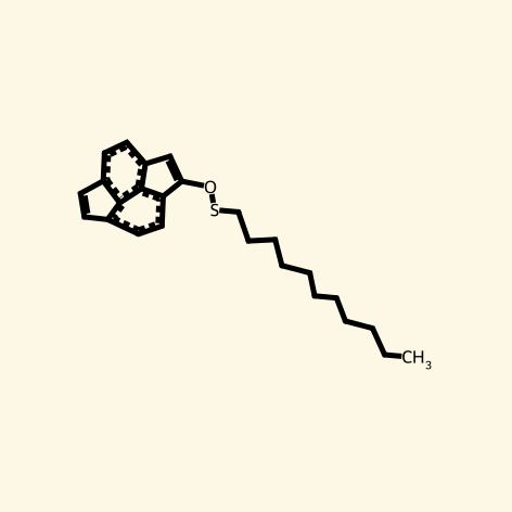 CCCCCCCCCCCSOC1=Cc2ccc3c4c(ccc1c24)C=C3